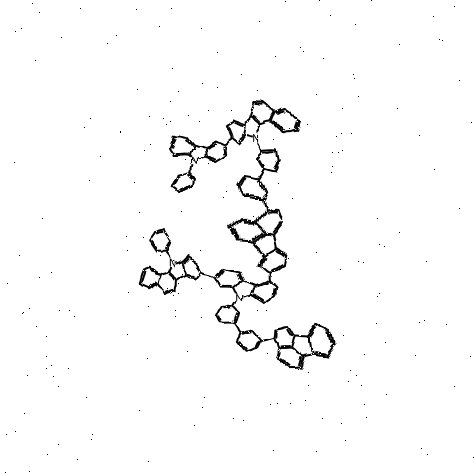 c1ccc(-n2c3ccccc3c3cc(-c4ccc5c6ccc7ccccc7c6n(-c6cccc(-c7cccc(-c8ccc9c%10c(cccc8%10)-c8cc(-c%10cccc%11c%10c%10ccc(-c%12ccc%13c(c%12)c%12ccc%14ccccc%14c%12n%13-c%12ccccc%12)cc%10n%11-c%10cccc(-c%11cccc(-c%12ccc%13c%14c(cccc%12%14)-c%12ccccc%12-%13)c%11)c%10)ccc8-9)c7)c6)c5c4)ccc32)cc1